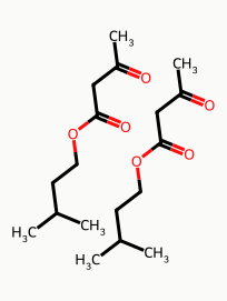 CC(=O)CC(=O)OCCC(C)C.CC(=O)CC(=O)OCCC(C)C